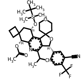 CC(=O)O[C@H]1c2nc(C(C)C)c3c(c2[C@@H](O[Si](C)(C)C(C)(C)C)CC12CCC2)C1(CCOCC1)O[C@@H]3c1ccc(C(F)(F)F)c(C#N)c1